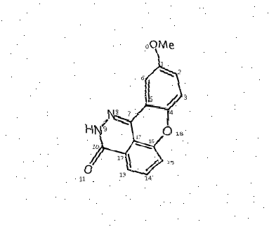 COc1ccc2c(c1)-c1n[nH]c(=O)c3cccc(c13)O2